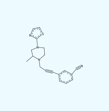 CC1CN(c2nccs2)CCN1CC#Cc1cccc(C#N)c1